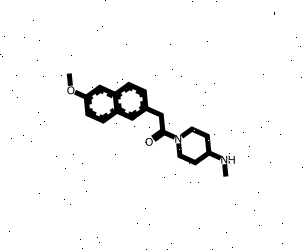 CNC1CCN(C(=O)Cc2ccc3cc(OC)ccc3c2)CC1